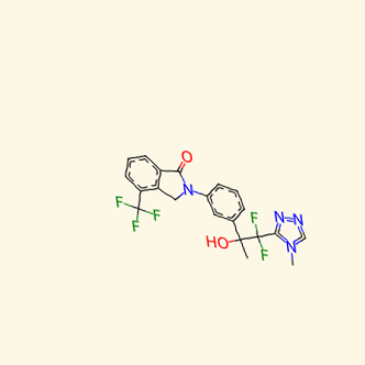 Cn1cnnc1C(F)(F)C(C)(O)c1cccc(N2Cc3c(cccc3C(F)(F)F)C2=O)c1